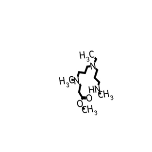 CCN(CCCNC)CCCN(C)CCC(=O)OC